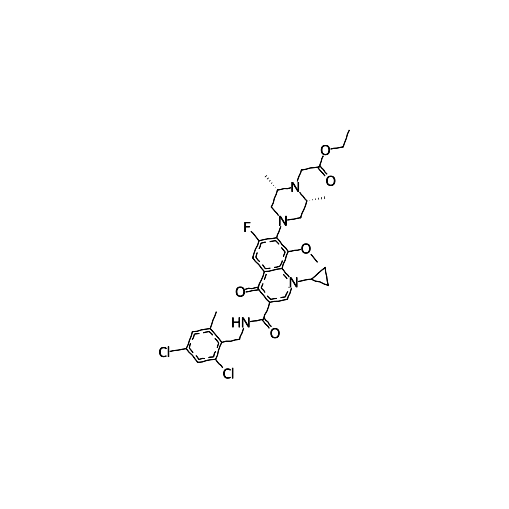 CCOC(=O)CN1[C@H](C)CN(c2c(F)cc3c(=O)c(C(=O)NCc4c(C)cc(Cl)cc4Cl)cn(C4CC4)c3c2OC)C[C@@H]1C